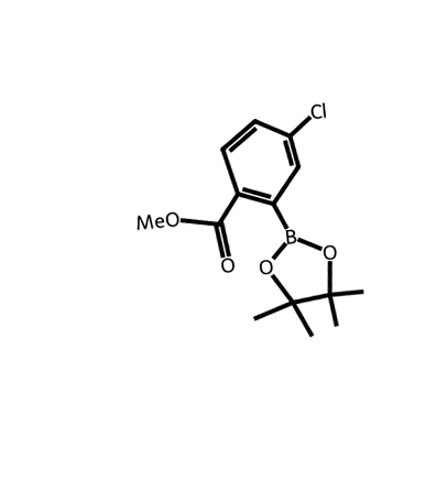 COC(=O)c1ccc(Cl)cc1B1OC(C)(C)C(C)(C)O1